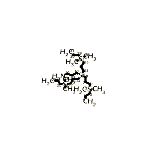 C=CC[Si](C)(C)CCC[Si](CCCN)(CCC[Si](C)(C)CC=C)CCC[Si](C)(C)CC=C